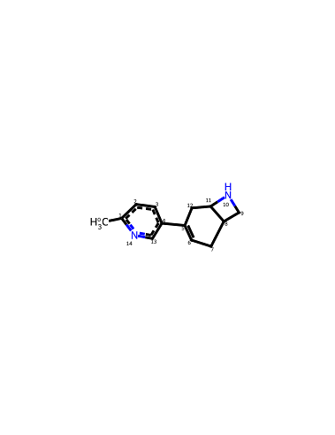 Cc1ccc(C2=CCC3CNC3C2)cn1